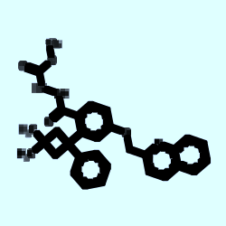 CC1(C)CC(c2ccccc2)(c2cc(OCc3ccc4ccccc4n3)ccc2C(=O)NNC(=O)OC(C)(C)C)C1